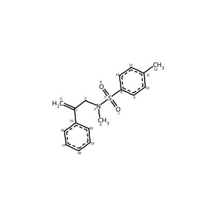 C=C(CN(C)S(=O)(=O)c1ccc(C)cc1)c1ccccc1